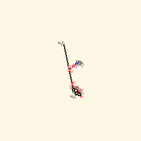 CCCCCCCCCCCCCCCCCOCC(COPOCC[N+](C)(C)C)OC(=O)CCCCCCCC(=O)OCC(=O)[C@]1(O)CC[C@@H]2[C@@]3(C)C[C@@H](C)C4=CC(=O)C=C[C@@]4(C)[C@@H]3[C@H](O)C[C@]21C